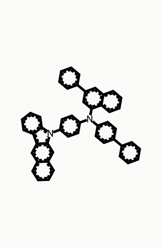 c1ccc(-c2ccc(N(c3ccc(-n4c5ccccc5c5cc6ccccc6cc54)cc3)c3cc(-c4ccccc4)cc4ccccc34)cc2)cc1